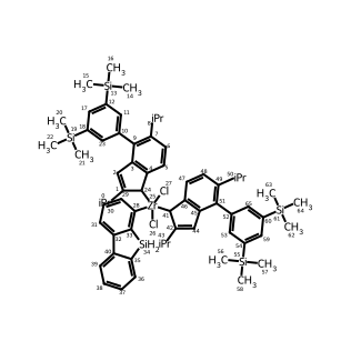 CC(C)C1=Cc2c(ccc(C(C)C)c2-c2cc([Si](C)(C)C)cc([Si](C)(C)C)c2)[CH]1[Zr]([Cl])([Cl])([c]1cccc2c1[SiH2]c1ccccc1-2)[CH]1C(C(C)C)=Cc2c1ccc(C(C)C)c2-c1cc([Si](C)(C)C)cc([Si](C)(C)C)c1